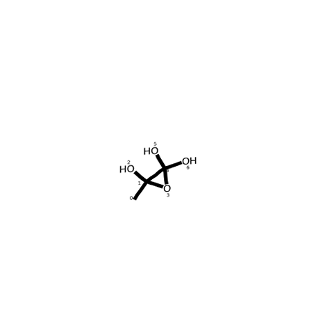 CC1(O)OC1(O)O